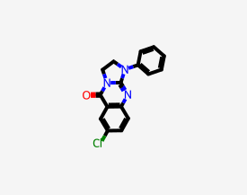 O=c1c2cc(Cl)ccc2nc2n1CCN2c1ccccc1